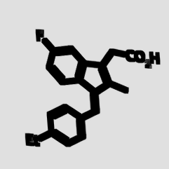 CCc1ccc(/C=C2/C(C)=C(CC(=O)O)c3cc(F)ccc32)cc1